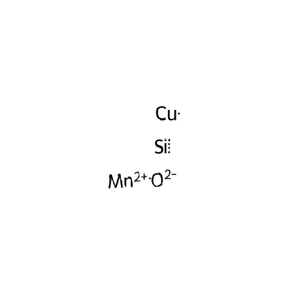 [Cu].[Mn+2].[O-2].[Si]